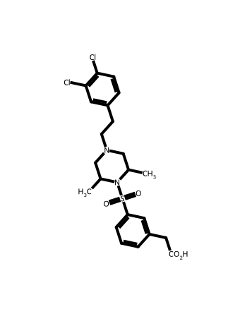 CC1CN(CCc2ccc(Cl)c(Cl)c2)CC(C)N1S(=O)(=O)c1cccc(CC(=O)O)c1